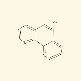 [Ir+3].c1cnc2c(c1)ccc1cccnc12